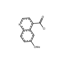 COc1ccc2nccc(C(=O)Cl)c2c1